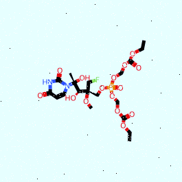 CCOC(=O)OCOP(=O)(OCOC(=O)OCC)OC[C@@](CF)(OC)[C@@H](O)[C@@](C)(O)n1ccc(=O)[nH]c1=O